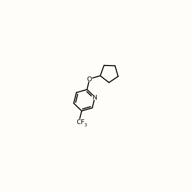 FC(F)(F)c1ccc(OC2CCCC2)nc1